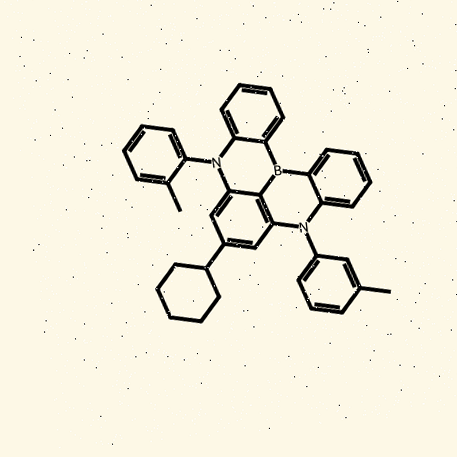 Cc1cccc(N2c3ccccc3B3c4ccccc4N(c4ccccc4C)c4cc(C5CCCCC5)cc2c43)c1